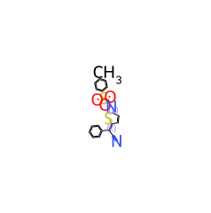 Cc1ccc(S(=O)(=O)O/N=C2C=C/C(=C(\C#N)c3ccccc3)S/2)cc1